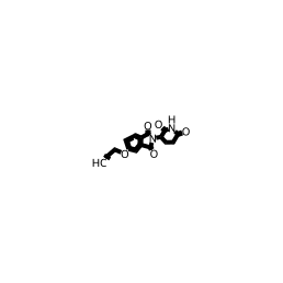 C#CCOc1ccc2c(c1)C(=O)N(C1CCC(=O)NC1=O)C2=O